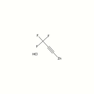 Cl.FC(F)(F)C#[C][Zn]